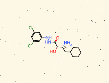 N[C@H](CC1CCCCC1)C(O)C(=O)NNc1cc(Cl)cc(Cl)c1